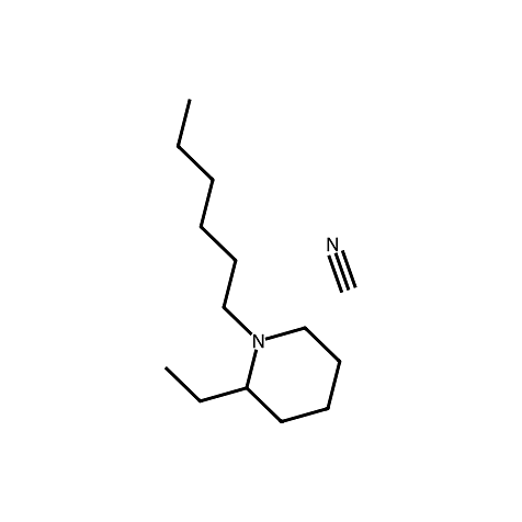 C#N.CCCCCCN1CCCCC1CC